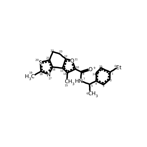 CCc1ccc(C(C)NC(=O)c2oc3c(c2C)-c2nc(C)sc2CC3)cc1